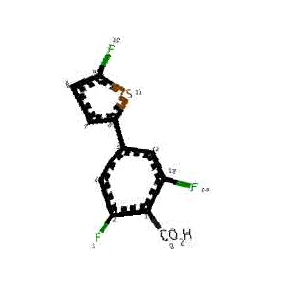 O=C(O)c1c(F)cc(-c2ccc(F)s2)cc1F